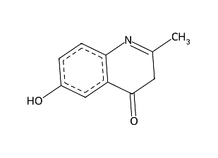 CC1=Nc2ccc(O)cc2C(=O)C1